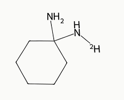 [2H]NC1(N)CCCCC1